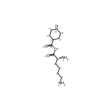 NCCCC[C@H](N)C(=O)OC(=O)C1CCNCC1